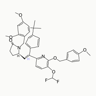 COc1ccc(COc2nc(/C(=C/[C@H]3CCC(=O)N3Cc3ccc(OC)cc3OC)c3ccc(C(C)(C)C)cc3)ccc2OC(F)F)cc1